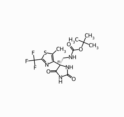 Cc1sc(C(F)(F)F)nc1[C@@]1(CNC(=O)OC(C)(C)C)NC(=O)NC1=O